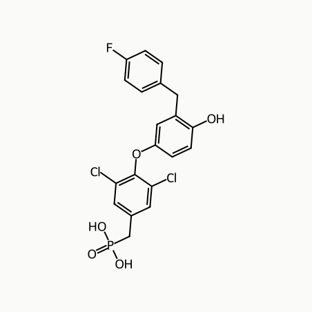 O=P(O)(O)Cc1cc(Cl)c(Oc2ccc(O)c(Cc3ccc(F)cc3)c2)c(Cl)c1